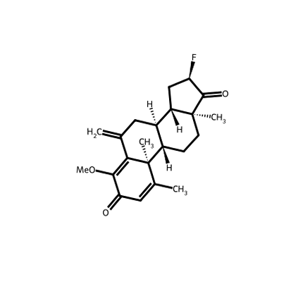 C=C1C[C@@H]2[C@H](CC[C@]3(C)C(=O)[C@H](F)C[C@@H]23)[C@@]2(C)C(C)=CC(=O)C(OC)=C12